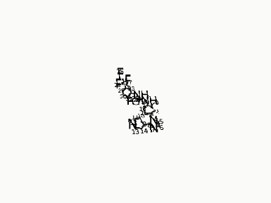 Cc1cc(-n2ccnc2-c2ccncc2)ccc1NC(=O)Nc1cc(C(F)(F)F)ccc1F